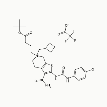 CC(C)(C)OC(=O)CCC[N+]1(CC2CCC2)CCc2c(sc(NC(=O)Nc3ccc(Cl)cc3)c2C(N)=O)C1.O=C([O-])C(F)(F)F